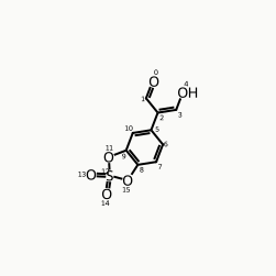 O=C/C(=C\O)c1ccc2c(c1)OS(=O)(=O)O2